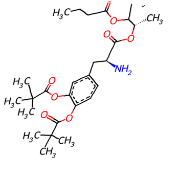 CCCC(=O)OC(C)[C@H](C)OC(=O)[C@@H](N)Cc1ccc(OC(=O)C(C)(C)C)c(OC(=O)C(C)(C)C)c1